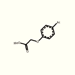 COC(=O)COc1ccc(C(C)=O)cc1